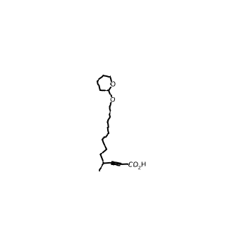 CC(C#CC(=O)O)CCCCCCCOC1CCCCO1